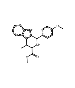 COC(=O)C1NC(c2ccc(OC)cc2)c2[nH]c3ccccc3c2C1F